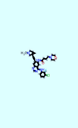 CN1CC2CC2(C#Cc2cc3ncnc(Nc4cccc(Cl)c4F)c3cc2NC(=O)/C=C/CN2CCOCC2)C1